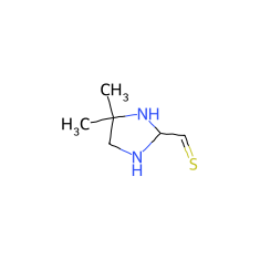 CC1(C)CNC(C=S)N1